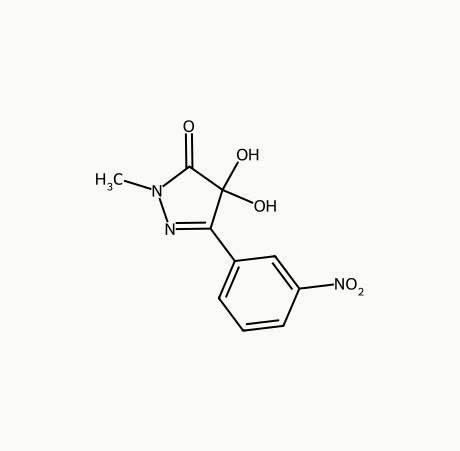 CN1N=C(c2cccc([N+](=O)[O-])c2)C(O)(O)C1=O